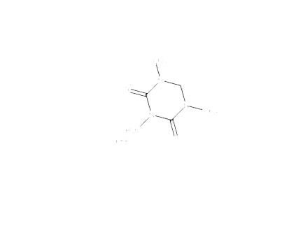 Br.CN1CN(C)C(=O)N(C)C1=O